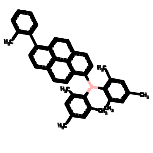 Cc1cc(C)c(B(c2c(C)cc(C)cc2C)c2ccc3ccc4c(-c5ccccc5C)ccc5ccc2c3c54)c(C)c1